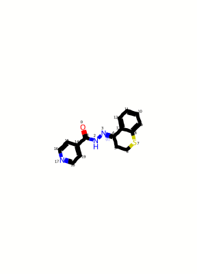 O=C(N/N=C1\CCSc2ccccc21)c1ccncc1